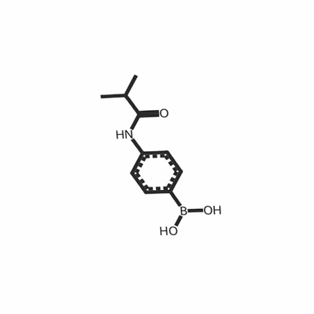 CC(C)C(=O)Nc1ccc(B(O)O)cc1